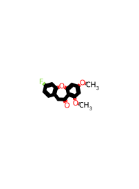 COc1cc(OC)c2c(c1)Oc1cc(F)ccc1CC2=O